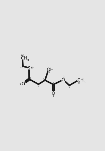 CCOC(=O)C(O)CC(=O)SCC